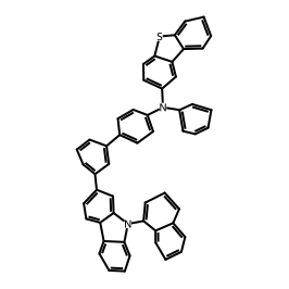 c1ccc(N(c2ccc(-c3cccc(-c4ccc5c6ccccc6n(-c6cccc7ccccc67)c5c4)c3)cc2)c2ccc3sc4ccccc4c3c2)cc1